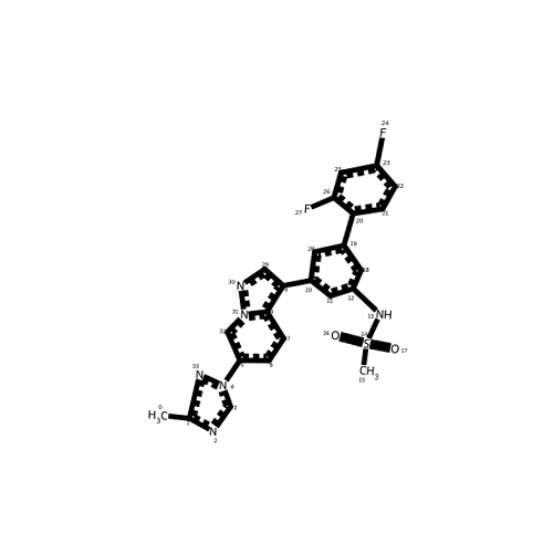 Cc1ncn(-c2ccc3c(-c4cc(NS(C)(=O)=O)cc(-c5ccc(F)cc5F)c4)cnn3c2)n1